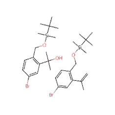 C=C(C)c1cc(Br)ccc1CO[Si](C)(C)C(C)(C)C.CC(C)(O)c1cc(Br)ccc1CO[Si](C)(C)C(C)(C)C